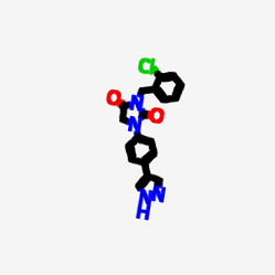 O=C1CN(c2ccc(-c3cn[nH]c3)cc2)C(=O)N1Cc1ccccc1Cl